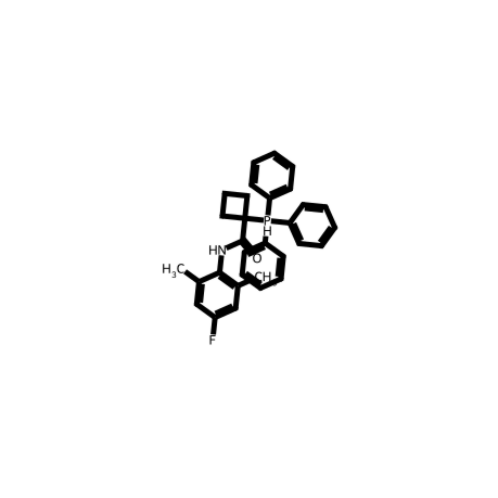 Cc1cc(F)cc(C)c1NC(=O)C1([PH](c2ccccc2)(c2ccccc2)c2ccccc2)CCC1